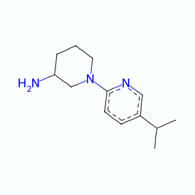 CC(C)c1ccc(N2CCCC(N)C2)nc1